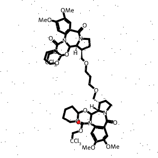 COc1cc2c(cc1OC)N(C(=O)OCC(Cl)(Cl)Cl)C(OC1CCCCO1)[C@@H]1[C@H](COCCCOC[C@@H]3CCN4C(=O)c5cc(OC)c(OC)cc5N(C(=O)OCC(Cl)(Cl)Cl)C(OC5CCCCO5)[C@H]34)CCN1C2=O